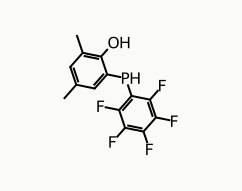 Cc1cc(C)c(O)c(Pc2c(F)c(F)c(F)c(F)c2F)c1